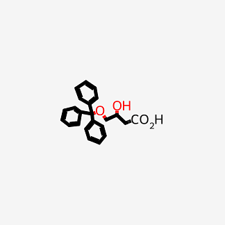 O=C(O)CC(O)COC(c1ccccc1)(c1ccccc1)c1ccccc1